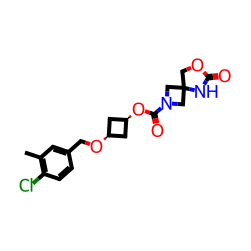 Cc1cc(CO[C@H]2C[C@@H](OC(=O)N3CC4(COC(=O)N4)C3)C2)ccc1Cl